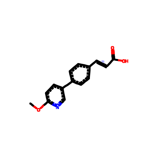 COc1ccc(-c2ccc(/C=C/C(=O)O)cc2)cn1